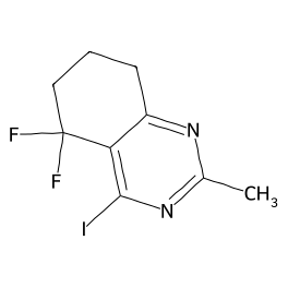 Cc1nc(I)c2c(n1)CCCC2(F)F